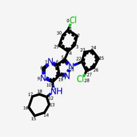 Clc1ccc(-c2c3ncnc(NC4CCCCCC4)c3nn2-c2ccccc2Cl)cc1